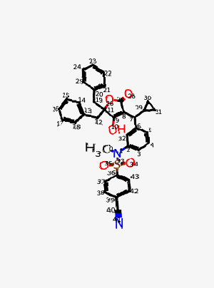 CN(c1cccc(C(C2=C(O)C(Cc3ccccc3)(Cc3ccccc3)OC2=O)C2CC2)c1)S(=O)(=O)c1ccc(C#N)cc1